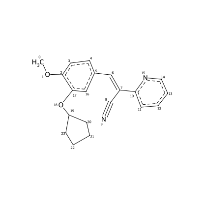 COc1ccc(C=C(C#N)c2ccccn2)cc1OC1CCCC1